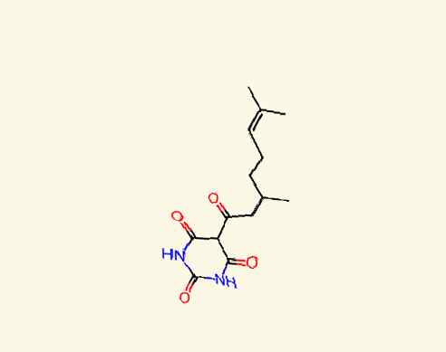 CC(C)=CCCC(C)CC(=O)C1C(=O)NC(=O)NC1=O